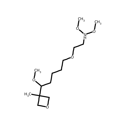 COC(CCCCOCC[SiH](OC)OC)C1(C)COC1